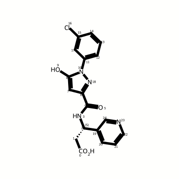 O=C(O)C[C@H](NC(=O)c1cc(O)n(-c2cccc(Cl)c2)n1)c1cccnc1